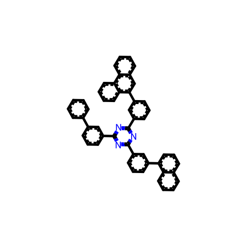 c1ccc(-c2cccc(-c3nc(-c4cccc(-c5cccc6ccccc56)c4)nc(-c4cccc(-c5cc6ccccc6c6ccccc56)c4)n3)c2)cc1